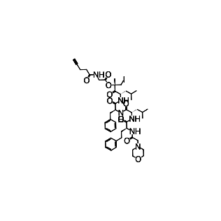 C#CCCC(=O)NCC(=O)O[C@](C)(CI)C(=O)[C@H](CC(C)C)NC(=O)[C@H](Cc1ccccc1)NC(=O)[C@H](CC(C)C)NC(=O)[C@H](CCc1ccccc1)NC(=O)CN1CCOCC1